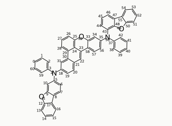 c1ccc(N(c2ccc3c(c2)oc2ccccc23)c2ccc3cc4c5c(cccc5c3c2)Oc2cc(N(c3ccccc3)c3cccc5c3oc3ccccc35)ccc2-4)cc1